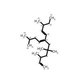 C=CC(C)CC(C)(C)CC(C=CC(C)CC)=CCC(C)C